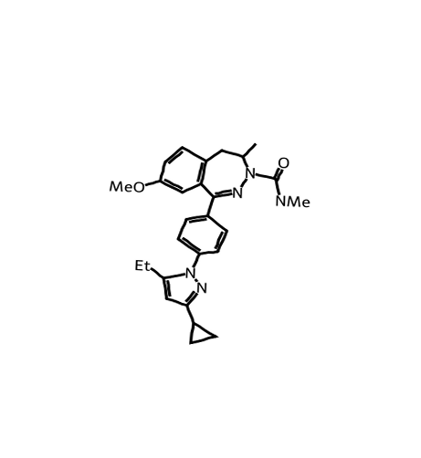 CCc1cc(C2CC2)nn1-c1ccc(C2=NN(C(=O)NC)C(C)Cc3ccc(OC)cc32)cc1